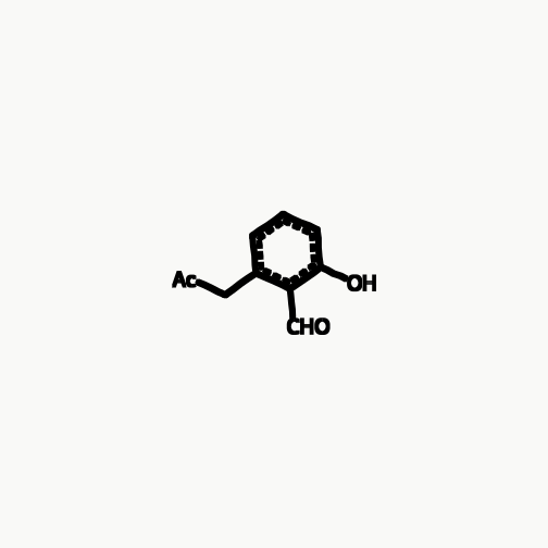 CC(=O)Cc1cccc(O)c1C=O